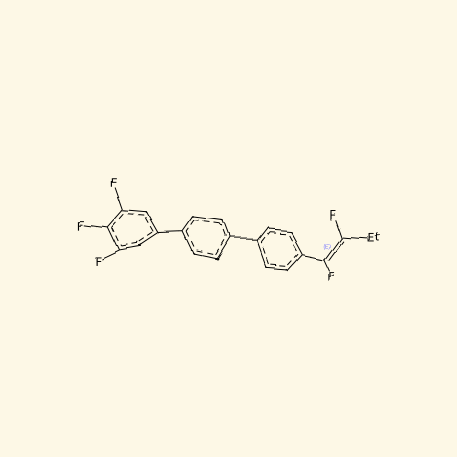 CC/C(F)=C(\F)c1ccc(-c2ccc(-c3cc(F)c(F)c(F)c3)cc2)cc1